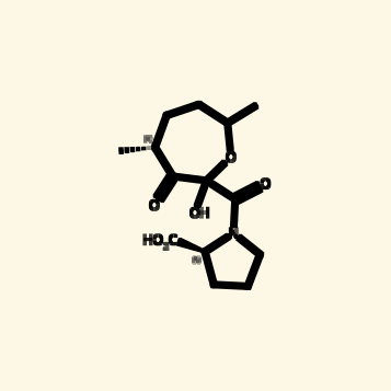 CC1CC[C@@H](C)C(=O)C(O)(C(=O)N2CCC[C@H]2C(=O)O)O1